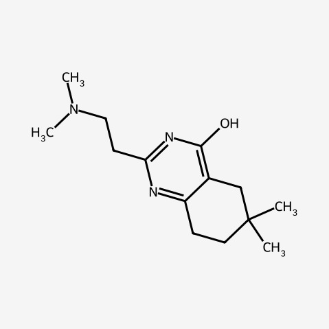 CN(C)CCc1nc(O)c2c(n1)CCC(C)(C)C2